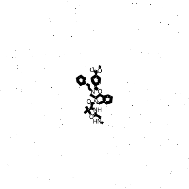 CNCC(=O)NC(C(=O)N1Cc2ccccc2CC1CN(CCc1ccccc1)C(=O)c1ccc(C(=O)OC)cc1)C(C)(C)C